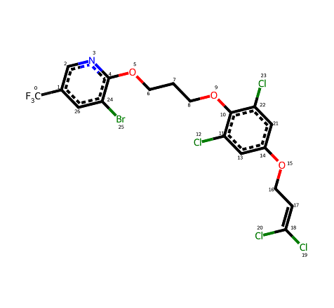 FC(F)(F)c1cnc(OCCCOc2c(Cl)cc(OCC=C(Cl)Cl)cc2Cl)c(Br)c1